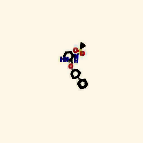 O=S(=O)(N[C@H]1CCCN[C@H]1CO[C@H]1CC[C@@H](c2ccccc2)CC1)C1CC1